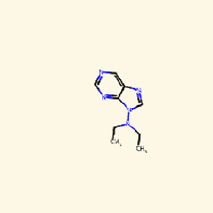 CCN(CC)n1cnc2cncnc21